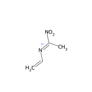 C=C/N=C(\C)[N+](=O)[O-]